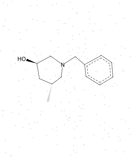 C[C@@H]1C[C@@H](O)CN(Cc2ccccc2)C1